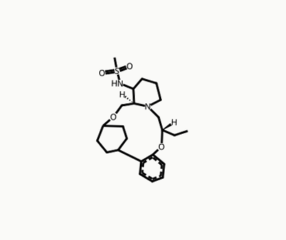 CC[C@H]1CN2CCCC(NS(C)(=O)=O)[C@@H]2COC2CCC(CC2)c2ccccc2O1